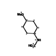 COC1CCC(NC(=O)O)CC1